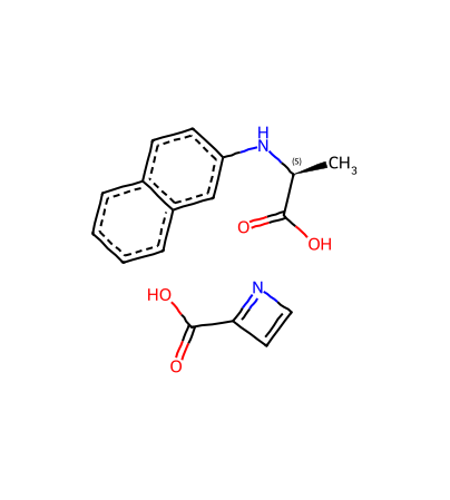 C[C@H](Nc1ccc2ccccc2c1)C(=O)O.O=C(O)C1=NC=C1